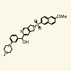 COc1ccc2cc(S(=O)(=O)N3Cc4cnc(C(O)c5cccc(N6CCN(C)CC6)c5)cc4C3)ccc2c1